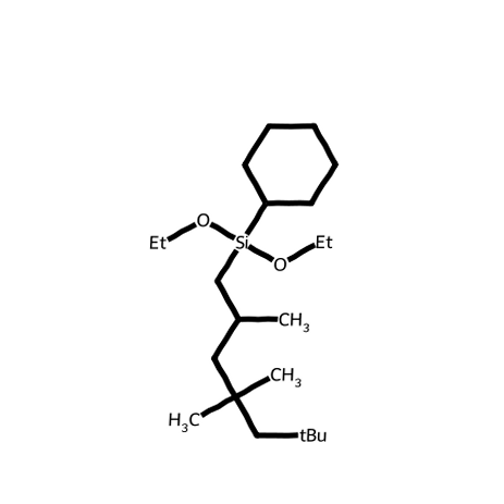 CCO[Si](CC(C)CC(C)(C)CC(C)(C)C)(OCC)C1CCCCC1